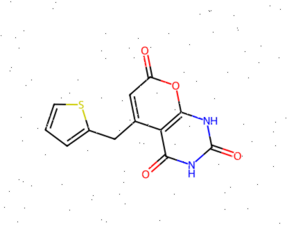 O=c1[nH]c(=O)c2c(Cc3cccs3)cc(=O)oc2[nH]1